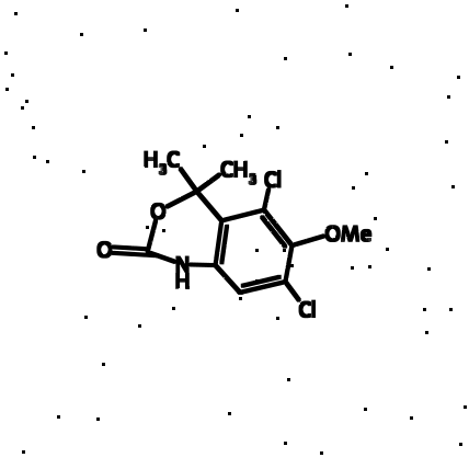 COc1c(Cl)cc2c(c1Cl)C(C)(C)OC(=O)N2